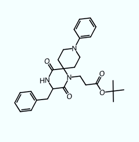 CC(C)(C)OC(=O)CCN1C(=O)C(Cc2ccccc2)NC(=O)C12CCN(c1ccccc1)CC2